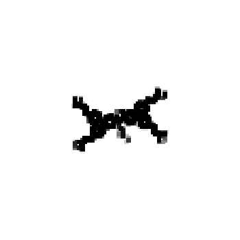 CC(C)(C1CCC(c2ccc(CCC3CO3)cc2)(c2ccc(CCC3CO3)cc2)CC1)C1CCC(c2ccc(CCC3CO3)cc2)(c2ccc(CCC3CO3)cc2)CC1